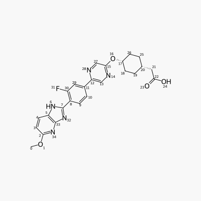 COc1ccc2[nH]c(-c3ccc(-c4cnc(O[C@H]5CC[C@@H](CC(=O)O)CC5)cn4)cc3F)nc2n1